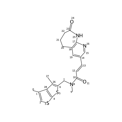 Cc1csc2sc(CN(C)C(=O)C=Cc3cnc4c(c3)CCCC(=O)N4)c(C)c12